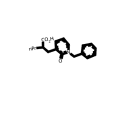 CCCC(Cc1cccn(Cc2ccccc2)c1=O)C(=O)O